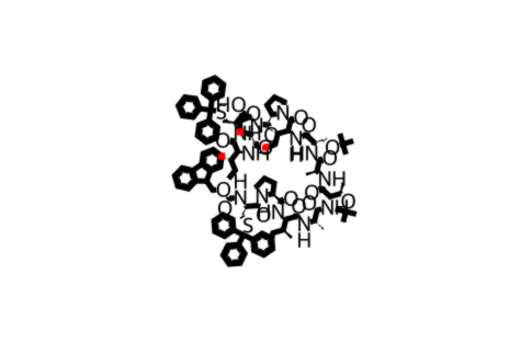 CC[C@H](C)[C@H](NC(=O)[C@@H]1CCCN1C(=O)[C@H](CSC(c1ccccc1)(c1ccccc1)c1ccccc1)NC(=O)OCC1c2ccccc2-c2ccccc21)C(=O)N[C@@H](C)C(=O)N[C@H](C(=O)N[C@@H](C)C(=O)N[C@@H](COC(C)(C)C)C(=O)N[C@H](C(=O)N1CCC[C@H]1C(=O)N1CCC[C@H]1C(=O)N[C@H](C(=O)N[C@@H](CSC(c1ccccc1)(c1ccccc1)c1ccccc1)C(=O)O)[C@@H](C)CC)[C@@H](C)CC)[C@@H](C)OC(C)(C)C